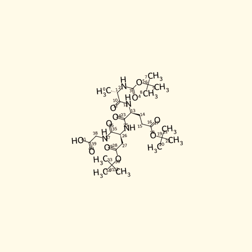 C[C@H](NC(=O)OC(C)(C)C)C(=O)N[C@@H](CCC(=O)OC(C)(C)C)C(=O)N[C@@H](CC(=O)OC(C)(C)C)C(=O)NCC(=O)O